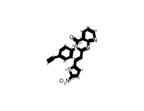 C#Cc1ccc(-n2c(/C=C/c3ccc([N+](=O)[O-])s3)nc3ncccc3c2=O)cc1